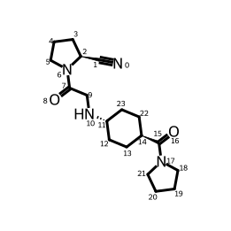 N#C[C@@H]1CCCN1C(=O)CN[C@H]1CC[C@H](C(=O)N2CCCC2)CC1